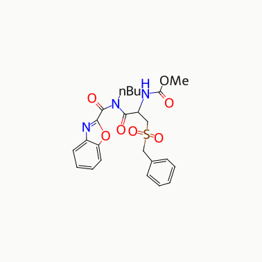 CCCCN(C(=O)c1nc2ccccc2o1)C(=O)C(CS(=O)(=O)Cc1ccccc1)NC(=O)OC